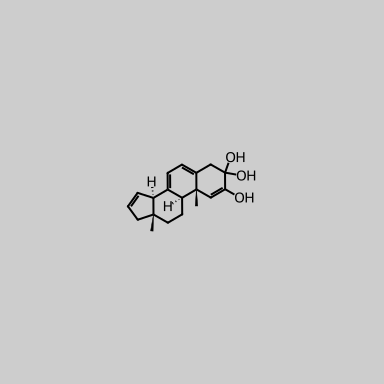 C[C@@]12CC=C[C@H]1C1=CC=C3CC(O)(O)C(O)=C[C@]3(C)[C@H]1CC2